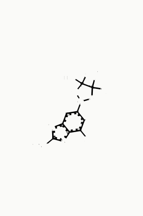 CC(=O)Nc1nc2c(F)cc(B3OC(C)(C)C(C)(C)O3)cc2s1